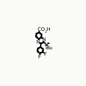 CCC(C)N(C)c1nc2cc(C(=O)O)ccc2nc1-c1ccc(F)c(F)c1